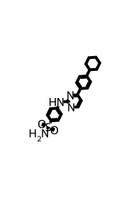 NS(=O)(=O)c1ccc(Nc2nccc(-c3ccc(C4CCCCC4)cc3)n2)cc1